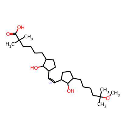 COC(C)(C)CCCCC1CCC(/C=C\C2CCC(CCCCC(C)(C)C(=O)O)C2O)C1O